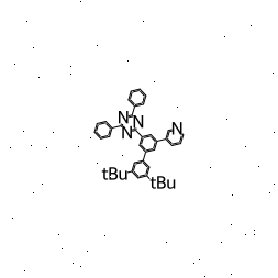 CC(C)(C)c1cc(-c2cc(-c3cccnc3)cc(-c3nc(-c4ccccc4)nc(-c4ccccc4)n3)c2)cc(C(C)(C)C)c1